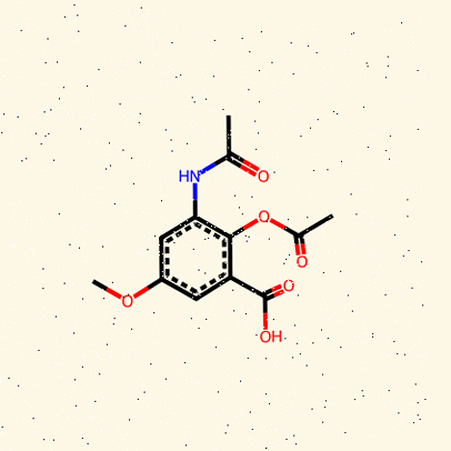 COc1cc(NC(C)=O)c(OC(C)=O)c(C(=O)O)c1